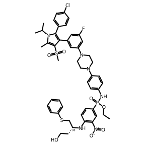 CCOP(=O)(Nc1ccc(N2CCN(c3cc(F)cc(-c4c(S(C)(=O)=O)c(C)n(C(C)C)c4-c4ccc(Cl)cc4)c3)CC2)cc1)c1ccc(N[C@H](CCO)CSc2ccccc2)c([N+](=O)[O-])c1